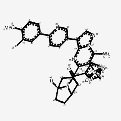 COc1ccc(-c2ccc(-c3cnn4c(N)c(S(C)(=O)=O)c(C5CC6CC[C@H](C5)N6C(=O)c5cn[nH]n5)nc34)cn2)cc1F